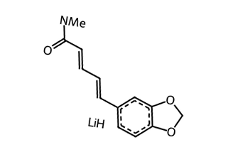 CNC(=O)C=CC=Cc1ccc2c(c1)OCO2.[LiH]